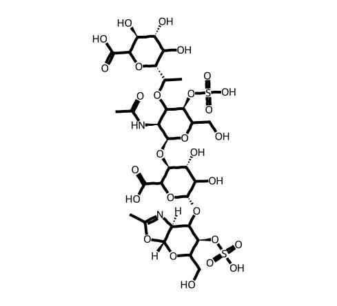 CC(=O)N[C@H]1C(OC(C)[C@@H]2OC(C(=O)O)[C@@H](O)[C@H](O)C2O)[C@@H](OS(=O)(=O)O)C(CO)O[C@H]1O[C@@H]1C(C(=O)O)O[C@@H](OC2[C@@H](OS(=O)(=O)O)C(CO)O[C@@H]3OC(C)=N[C@@H]23)C(O)[C@H]1O